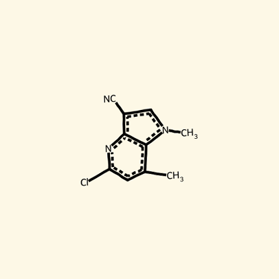 Cc1cc(Cl)nc2c(C#N)cn(C)c12